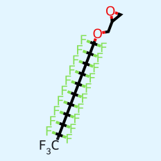 FC(F)(F)C(F)(F)C(F)(F)C(F)(F)C(F)(F)C(F)(F)C(F)(F)C(F)(F)C(F)(F)C(F)(F)C(F)(F)OCC1CO1